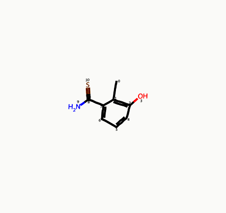 Cc1c(O)cccc1C(N)=S